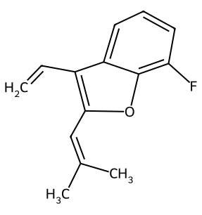 C=Cc1c(C=C(C)C)oc2c(F)cccc12